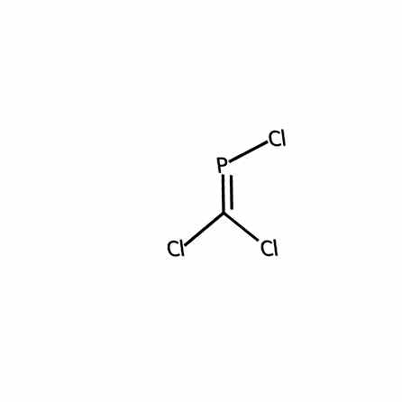 ClP=C(Cl)Cl